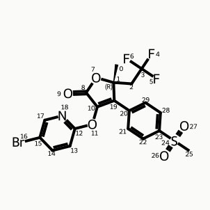 C[C@]1(CC(F)(F)F)OC(=O)C(Oc2ccc(Br)cn2)=C1c1ccc(S(C)(=O)=O)cc1